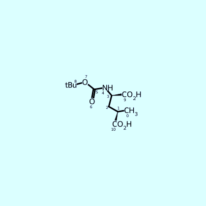 C[C@H](C[C@@H](NC(=O)OC(C)(C)C)C(=O)O)C(=O)O